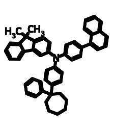 CC1(C)c2ccccc2-c2cc(N(c3ccc(-c4cccc5ccccc45)cc3)c3ccc(C4(c5ccccc5)CCCCCC4)cc3)ccc21